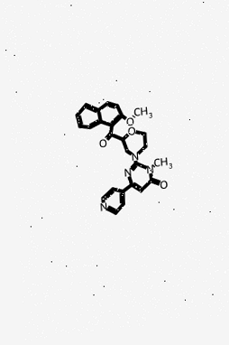 COc1ccc2ccccc2c1C(=O)C1CN(c2nc(-c3ccncc3)cc(=O)n2C)CCO1